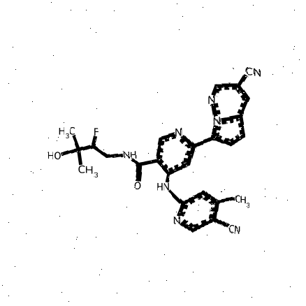 Cc1cc(Nc2cc(-c3ccc4cc(C#N)cnn34)ncc2C(=O)NCC(F)C(C)(C)O)ncc1C#N